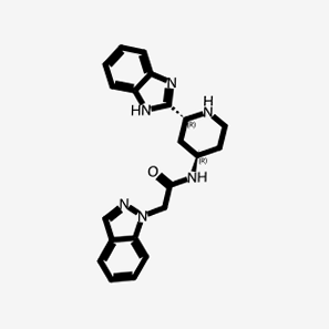 O=C(Cn1ncc2ccccc21)N[C@@H]1CCN[C@@H](c2nc3ccccc3[nH]2)C1